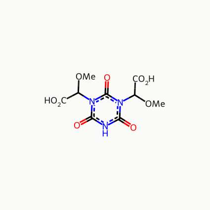 COC(C(=O)O)n1c(=O)[nH]c(=O)n(C(OC)C(=O)O)c1=O